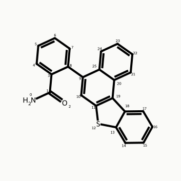 NC(=O)c1ccccc1-c1cc2sc3ccccc3c2c2ccccc12